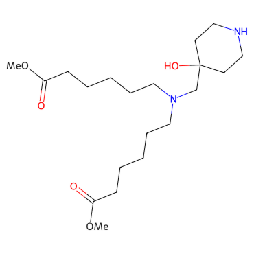 COC(=O)CCCCCN(CCCCCC(=O)OC)CC1(O)CCNCC1